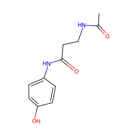 CC(=O)NCCC(=O)Nc1ccc(O)cc1